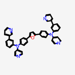 c1cncc(-c2cccc(N(c3ccncc3)c3ccc(-c4ccc(-c5ccc(N(c6ccncc6)c6cccc(-c7cccnc7)c6)cc5)o4)cc3)c2)c1